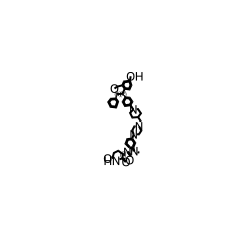 Cn1c(=O)n([C@H]2CCC(=O)NC2=O)c2ccc(N3CCN(CC4CCN(c5ccc([C@@H]6c7ccc(O)cc7CO[C@@H]6c6ccccc6)cc5)CC4)CC3)cc21